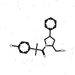 CC(C)(C(=O)N1CC(c2ccccc2)CC1CO)c1ccc(Cl)cc1